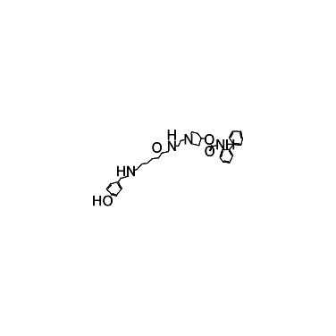 O=C(CCCCCNCCc1ccc(O)cc1)CNCCN1CCC(OC(=O)Nc2ccccc2-c2ccccc2)CC1